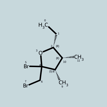 CC[C@H]1OC(Br)(CBr)[C@@H](C)[C@H]1C